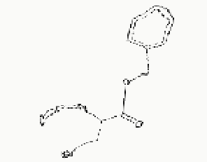 CC(C)(C)CC(N=C=O)C(=O)OCc1ccccc1